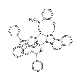 C=C1/C=C(/c2ccc3c4ccccc4n(-c4ccccc4)c3c2)c2c(c3c4ccccc4ccc3n2-c2nc(-c3ccccc3)c3ccccc3n2)COc2ccccc21